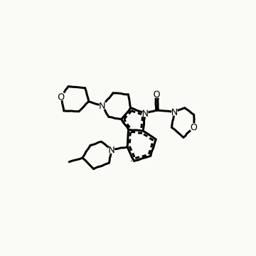 CC1CCN(c2[c]ccc3c2c2c(n3C(=O)N3CCOCC3)CCN(C3CCOCC3)C2)CC1